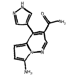 NC(=O)c1cnn2c(N)ccc2c1-c1cn[nH]c1